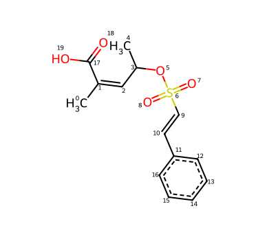 CC(=CC(C)OS(=O)(=O)C=Cc1ccccc1)C(=O)O